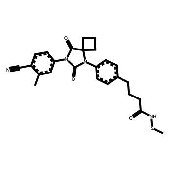 CSNC(=O)CCCc1ccc(N2C(=O)N(c3ccc(C#N)c(C)c3)C(=O)C23CCC3)cc1